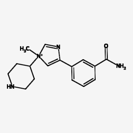 C[N+]1(C2CCNCC2)C=NC(c2cccc(C(N)=O)c2)=C1